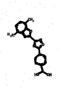 Cc1ccc(C)c2oc(-c3noc(-c4ccc(C(O)O)cc4)n3)cc12